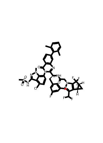 Cc1cccc(C)c1-c1ccc2c(=O)n(-c3ccc(Cl)c4c(NS(C)(=O)=O)nn(C)c34)c([C@H](Cc3cc(F)cc(F)c3)NC(=O)Cn3nc(C(F)F)c4c3C(F)(F)[C@@H]3C[C@H]43)nc2c1